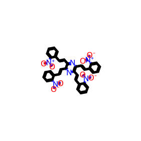 O=[N+]([O-])c1ccccc1/C=C/c1nc(/C=C/c2ccccc2[N+](=O)[O-])c(/C=C/c2ccccc2[N+](=O)[O-])nc1/C=C/c1ccccc1[N+](=O)[O-]